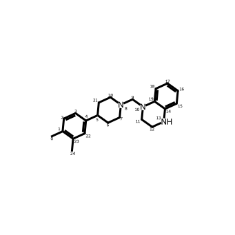 Cc1ccc(C2CCN(CN3CCNc4ccccc43)CC2)cc1C